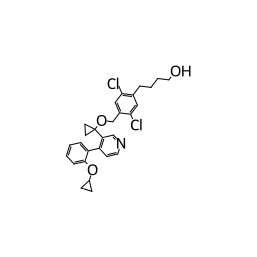 OCCCCc1cc(Cl)c(COC2(c3cnccc3-c3ccccc3OC3CC3)CC2)cc1Cl